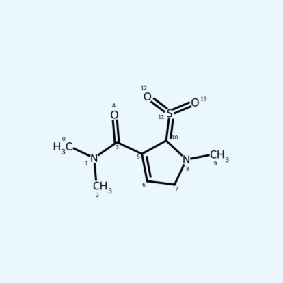 CN(C)C(=O)C1=CCN(C)C1=S(=O)=O